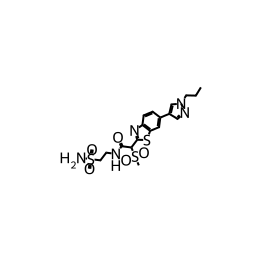 CCCn1cc(-c2ccc3nc(C(C(=O)NCCS(N)(=O)=O)S(C)(=O)=O)sc3c2)cn1